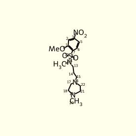 COc1cc([N+](=O)[O-])ccc1S(=O)(=O)N(C)CCCN1CCN(C)CC1